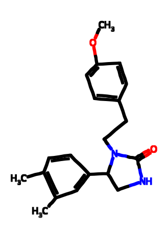 COc1ccc(CCN2C(=O)NCC2c2ccc(C)c(C)c2)cc1